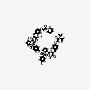 COC(=O)[C@H](Cc1ccc(OCC(=O)N(C(C)C)C(C)C)cc1)NC(=O)[C@@H]1CCCN1S(=O)(=O)c1ccc(C)cc1.Cc1ccc(S(=O)(=O)N2CCC[C@H]2C(=O)N[C@@H](Cc2ccc(OCC(=O)N3CCCCC3)cc2)C(=O)O)cc1